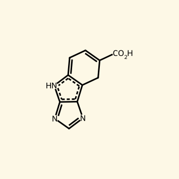 O=C(O)C1=CC=c2[nH]c3c(c2C1)N=CN=3